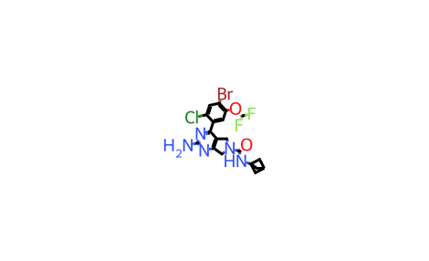 Nc1nc2c(c(-c3cc(OC(F)F)c(Br)cc3Cl)n1)CN(C(=O)NC13CC(C1)C3)C2